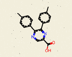 Cc1ccc(-c2ncc(C(=O)O)nc2-c2ccc(C)cc2)cc1